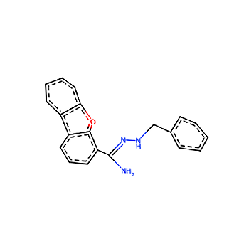 NC(=NNCc1ccccc1)c1cccc2c1oc1ccccc12